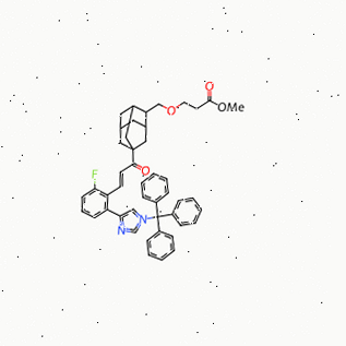 COC(=O)CCOCC1C2CC3CC1CC(C(=O)/C=C/c1c(F)cccc1-c1cn(C(c4ccccc4)(c4ccccc4)c4ccccc4)cn1)(C3)C2